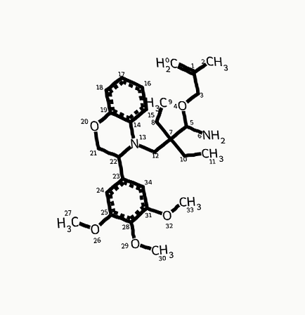 C=C(C)COC(N)C(CC)(CC)CN1c2ccccc2OCC1c1cc(OC)c(OC)c(OC)c1